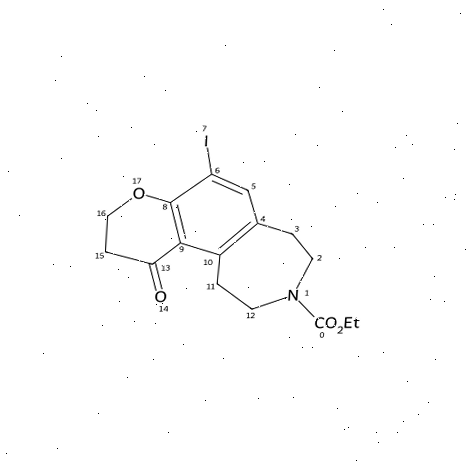 CCOC(=O)N1CCc2cc(I)c3c(c2CC1)C(=O)CCO3